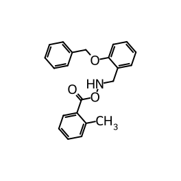 Cc1ccccc1C(=O)ONCc1ccccc1OCc1ccccc1